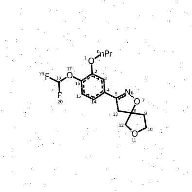 CCCOc1cc(C2=NOC3(CCOC3)C2)ccc1OC(F)F